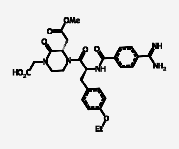 CCOc1ccc(C[C@H](NC(=O)c2ccc(C(=N)N)cc2)C(=O)N2CCN(CC(=O)O)C(=O)[C@@H]2CC(=O)OC)cc1